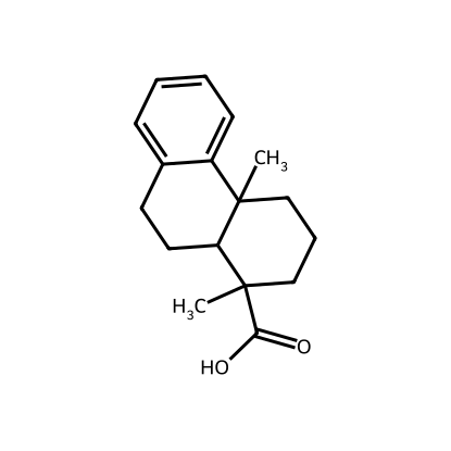 CC1(C(=O)O)CCCC2(C)c3ccccc3CCC12